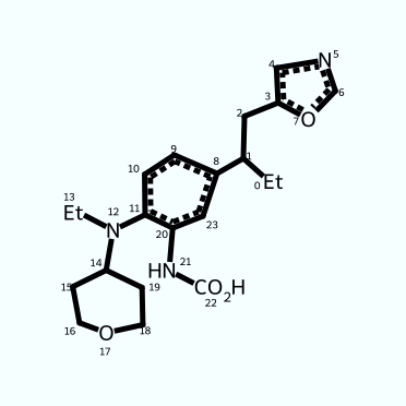 CCC(Cc1cnco1)c1ccc(N(CC)C2CCOCC2)c(NC(=O)O)c1